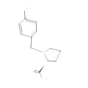 COC(=O)[C@@H]1C[C@@H](O)CN1Cc1ccc(OC)cc1